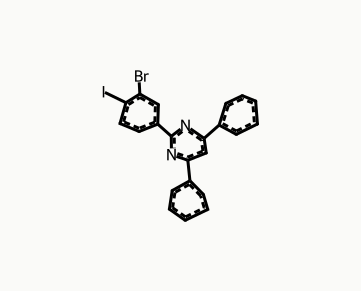 Brc1cc(-c2nc(-c3ccccc3)cc(-c3ccccc3)n2)ccc1I